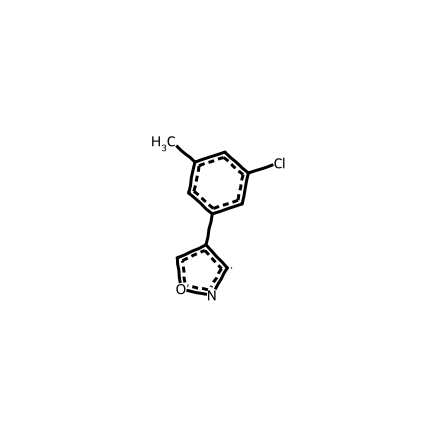 Cc1cc(Cl)cc(-c2[c]noc2)c1